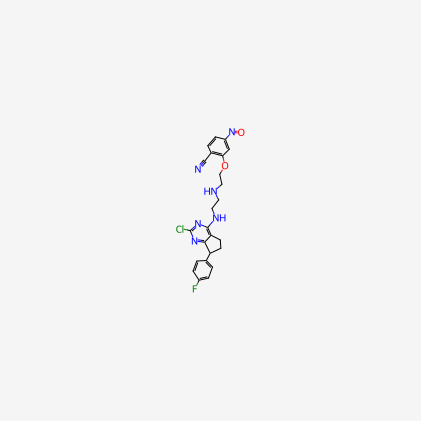 N#Cc1ccc(N=O)cc1OCCNCCNc1nc(Cl)nc2c1CCC2c1ccc(F)cc1